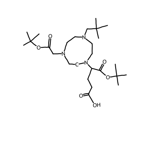 CC(C)(C)CN1CCN(CC(=O)OC(C)(C)C)CCN(C(CCC(=O)O)C(=O)OC(C)(C)C)CC1